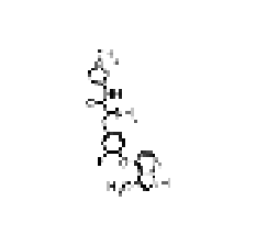 Cc1c[nH]c2nccc(Oc3ccc(CC(N)C(=O)NC4CCN(C)C4)cc3F)c12